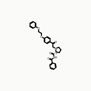 O=C(CN1CCC[C@@H]1C(=O)NC(=O)c1ccccc1)c1ccc(OCCOc2ccccc2)cc1